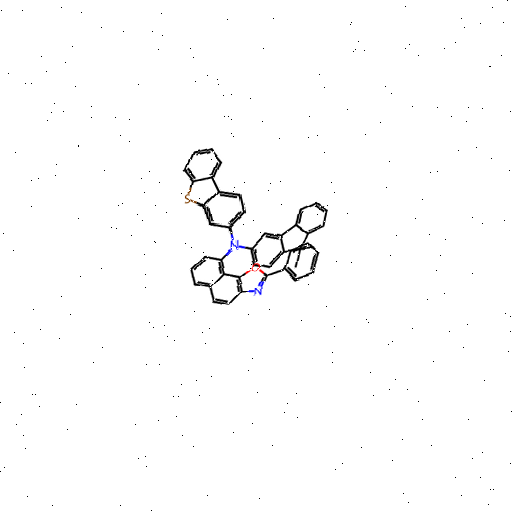 CC1(C)c2ccccc2-c2cc(N(c3ccc4c(c3)sc3ccccc34)c3cccc4ccc5nc(-c6ccccc6)oc5c34)ccc21